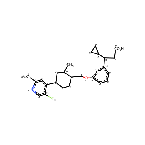 COc1cc(C2CCC(COc3cccc(C(CC(=O)O)C4CC4)c3)C(C)C2)c(F)cn1